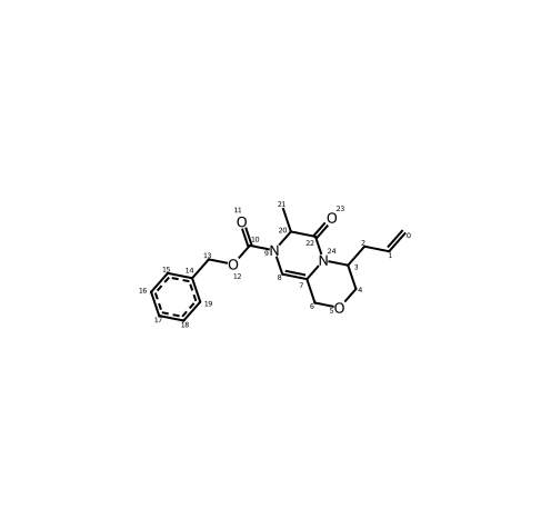 C=CCC1COCC2=CN(C(=O)OCc3ccccc3)C(C)C(=O)N21